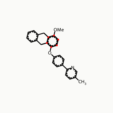 COc1ccc(Oc2ccc(-c3ccc(C)cn3)cc2)c2c1C1c3ccccc3C2c2ccccc21